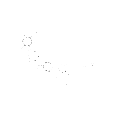 COCCCO[C@H]1CN(c2ccc(OC3CCN(c4cc(OC)ncc4Cl)CC3)nc2)[C@@H](CC(=O)O)[C@@H]1C